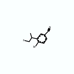 C[C](CF)c1cc(C#N)ccc1Br